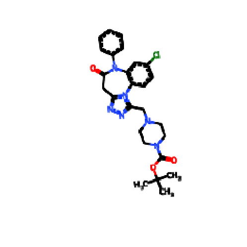 CC(C)(C)OC(=O)N1CCN(Cc2nnc3n2-c2ccc(Cl)cc2N(c2ccccc2)C(=O)C3)CC1